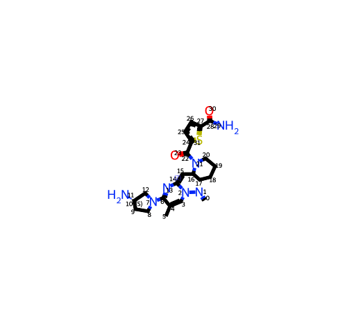 C=NN1C=C(C)C(N2CC[C@H](N)C2)=N/C1=C/C1CCCCN1C(=O)c1ccc(C(N)=O)s1